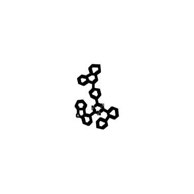 c1ccc(-c2ccccc2-c2nc(-c3ccc(-c4cc5ccccc5c5ccccc45)cc3)nc(-c3cccc4oc5ccccc5c34)n2)cc1